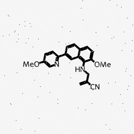 C=C(C#N)CNc1c(OC)ccc2ccc(-c3ccc(OC)cn3)cc12